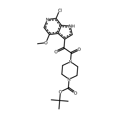 COc1cnc(Cl)c2[nH]cc(C(=O)C(=O)N3CCN(C(=O)OC(C)(C)C)CC3)c12